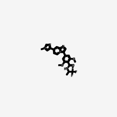 COc1cc(-c2cnc3cc(-c4cn(C)cn4)ccn23)cc(OC)c1C(=O)NC(C)C(F)(F)F